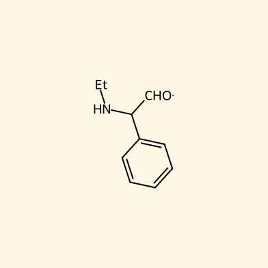 CCNC([C]=O)c1ccccc1